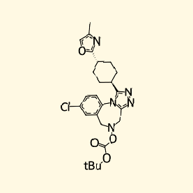 Cc1coc([C@H]2CC[C@H](c3nnc4n3-c3ccc(Cl)cc3CN(OC(=O)OC(C)(C)C)C4)CC2)n1